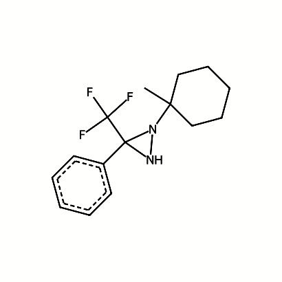 CC1(N2NC2(c2ccccc2)C(F)(F)F)CCCCC1